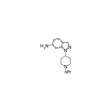 CCCN1CCC(n2ncc3ccc(N)cc32)CC1